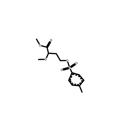 COC(=O)C(CCOS(=O)(=O)c1ccc(C)cc1)OC